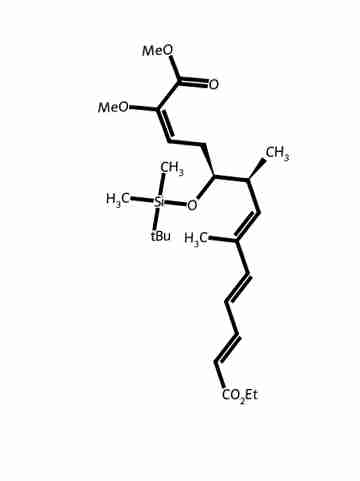 CCOC(=O)C=C/C=C/C(C)=C/[C@H](C)[C@H](C/C=C(/OC)C(=O)OC)O[Si](C)(C)C(C)(C)C